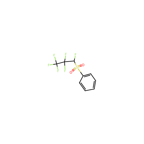 O=S(=O)(c1ccccc1)C(F)C(F)(F)C(F)(F)F